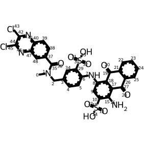 CN(Cc1ccc(Nc2cc(S(=O)(=O)O)c(N)c3c2C(=O)c2ccccc2C3=O)c(S(=O)(=O)O)c1)C(=O)c1ccc2nc(Cl)c(Cl)nc2c1